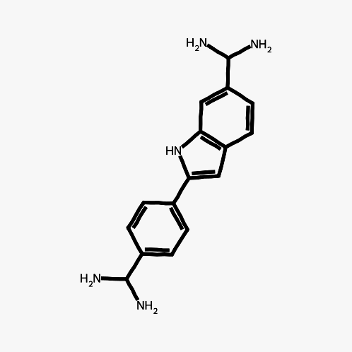 NC(N)c1ccc(-c2cc3ccc(C(N)N)cc3[nH]2)cc1